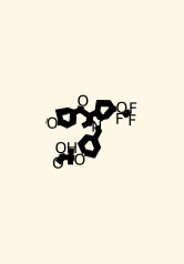 COc1ccc(C(=O)c2c(C)n(Cc3ccc(OC(C)(C)C(=O)O)cc3)c3cc(OC(F)(F)F)ccc23)cc1